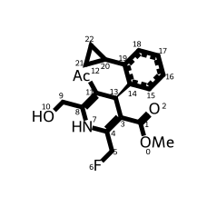 COC(=O)C1=C(CF)NC(CO)=C(C(C)=O)[C@H]1c1ccccc1C1CC1